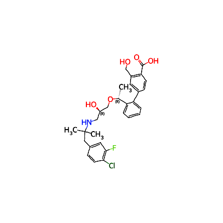 C[C@@H](OC[C@H](O)CNC(C)(C)Cc1ccc(Cl)c(F)c1)c1ccccc1-c1ccc(C(=O)O)c(CO)c1